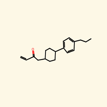 C=CC(=O)CC1CCC(c2ccc(CCC)cc2)CC1